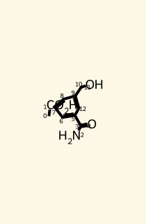 CC(=O)O.NC(=O)c1cccc(CO)c1